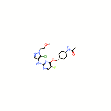 COCCn1ncc(Nc2ncc(F)c(OC[C@H]3CC[C@H](NC(C)=O)CC3)n2)c1Cl